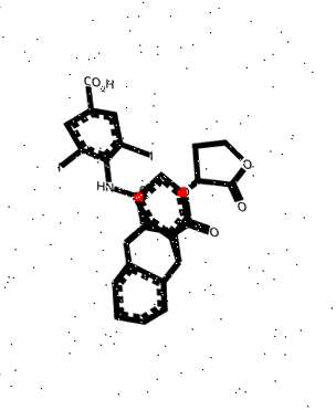 O=C(O)c1cc(I)c(NC(=O)C2C3c4ccccc4C(c4ccccc43)C2C(=O)OC2CCOC2=O)c(I)c1